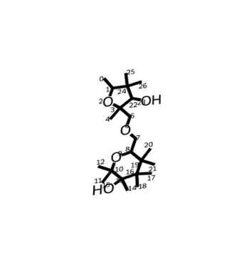 CC1OC(C)(COCC2OC(C)(C)C(C)(O)C(C)(C)C2(C)C)C(O)C1(C)C